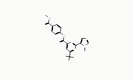 CNC(=O)c1ccc(NC(=O)c2cc(C(F)(F)F)nc(-c3cncn3C)n2)cc1